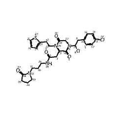 O=C(CC1C(=O)N(C(Cl)Cc2ccc(Cl)cc2)CC(=O)N1CCc1cccs1)NCCCN1CCCC1=O